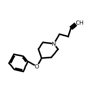 C#CCCN1CCC(Oc2ccccc2)CC1